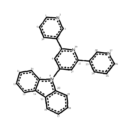 c1cncc(-c2cc(-n3c4ccccc4c4ccccc43)cc(-c3cccnc3)n2)c1